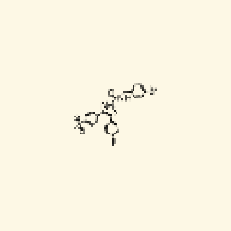 CS(=O)(=O)c1ccc(-c2nc(C(=O)NCc3ccc(Br)cc3)sc2-c2ccc(F)cc2)cc1